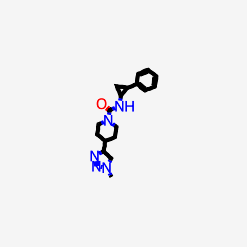 CN1CC(C2CCN(C(=O)NC3CC3c3ccccc3)CC2)N=N1